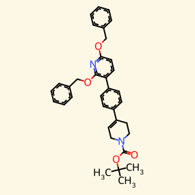 CC(C)(C)OC(=O)N1CC=C(c2ccc(-c3ccc(OCc4ccccc4)nc3OCc3ccccc3)cc2)CC1